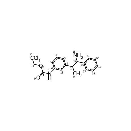 CC(c1cccc(NC(=O)OCC(Cl)(Cl)Cl)c1)C(N)c1ccccc1